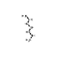 BNNNNNN